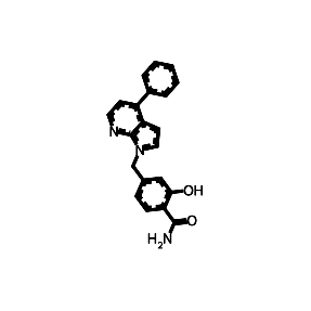 NC(=O)c1ccc(Cn2ccc3c(-c4ccccc4)ccnc32)cc1O